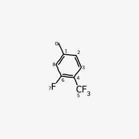 [CH2]c1ccc(C(F)(F)F)c(F)c1